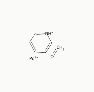 C=O.[Pd+2].c1cc[nH+]cc1